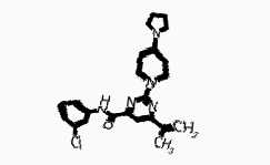 C=C(C)c1cc(C(=O)Nc2cccc(Cl)c2)nc(N2CCC(N3CCCC3)CC2)n1